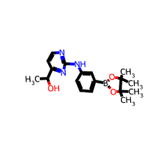 CC(O)c1ccnc(Nc2cccc(B3OC(C)(C)C(C)(C)O3)c2)n1